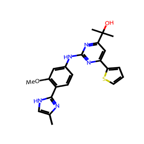 COc1cc(Nc2nc(-c3cccs3)cc(C(C)(C)O)n2)ccc1-c1nc(C)c[nH]1